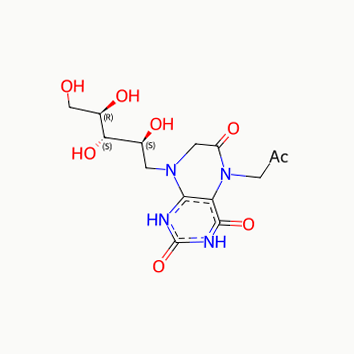 CC(=O)CN1C(=O)CN(C[C@H](O)[C@H](O)[C@H](O)CO)c2[nH]c(=O)[nH]c(=O)c21